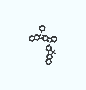 CC1(C)c2cc(-n3c4ccccc4c4cc5c(cc43)c3cc4ccccc4cc3n5-c3ccccc3)ccc2-c2cc3ccccc3cc21